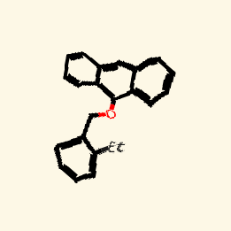 CCc1ccccc1COc1c2ccccc2cc2ccccc12